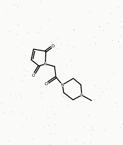 CN1CCN(C(=O)CN2C(=O)C=CC2=O)CC1